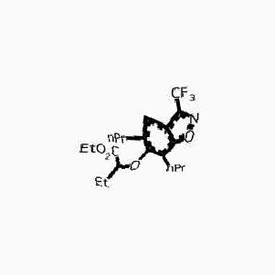 CCCc1cc2c(C(F)(F)F)noc2c(CCC)c1OC(CC)C(=O)OCC